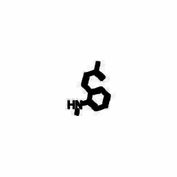 C=C(C)/C=C\c1ccccc1NC